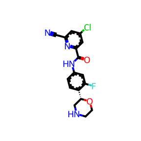 N#Cc1cc(Cl)cc(C(=O)Nc2ccc([C@H]3CNCCO3)c(F)c2)n1